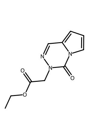 CCOC(=O)Cn1ncc2cccn2c1=O